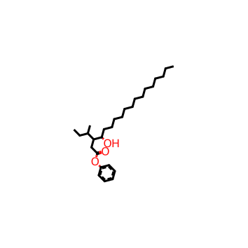 CCCCCCCCCCCCCCC(O)C(CC(=O)Oc1ccccc1)C(C)CC